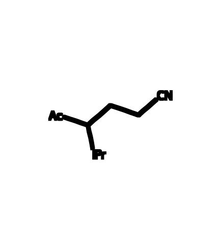 CC(=O)C(CCC#N)C(C)C